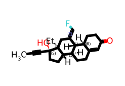 CC#C[C@]1(O)CC[C@H]2[C@@H]3CCC4=CC(=O)CC[C@@H]4[C@H]3/C(=C/F)C[C@@]21CC